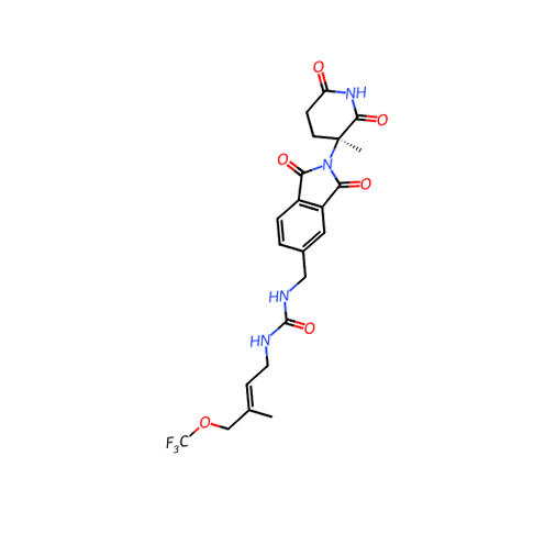 C/C(=C\CNC(=O)NCc1ccc2c(c1)C(=O)N([C@@]1(C)CCC(=O)NC1=O)C2=O)COC(F)(F)F